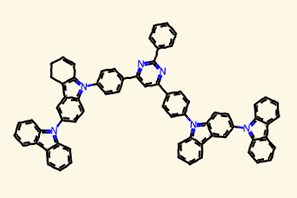 C1=Cc2c(c3cc(-n4c5ccccc5c5ccccc54)ccc3n2-c2ccc(-c3cc(-c4ccc(-n5c6ccccc6c6cc(-n7c8ccccc8c8ccccc87)ccc65)cc4)nc(-c4ccccc4)n3)cc2)CC1